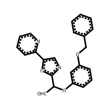 O=CC(Oc1cccc(OCc2ccccc2)c1)c1ncc(-c2ccccn2)o1